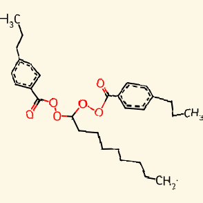 [CH2]CCCCCCC[C](OOC(=O)c1ccc(CCC)cc1)OOC(=O)c1ccc(CCC)cc1